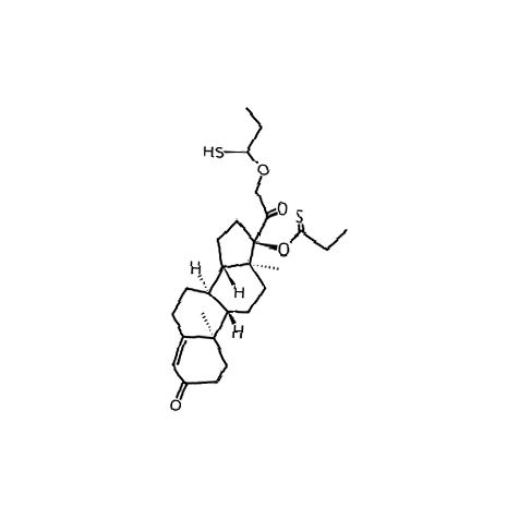 CCC(=S)O[C@]1(C(=O)COC(S)CC)CC[C@H]2[C@@H]3CCC4=CC(=O)CC[C@]4(C)[C@H]3CC[C@@]21C